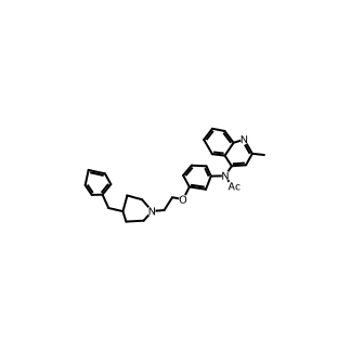 CC(=O)N(c1cccc(OCCN2CCC(Cc3ccccc3)CC2)c1)c1cc(C)nc2ccccc12